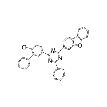 Clc1ccc(-c2nc(-c3ccccc3)nc(-c3ccc4c(c3)oc3ccccc34)n2)cc1-c1ccccc1